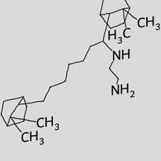 CC1(C)C2CCC(CC2)C1CCCCCCC(NCCN)C1C2CCC(CC2)C1(C)C